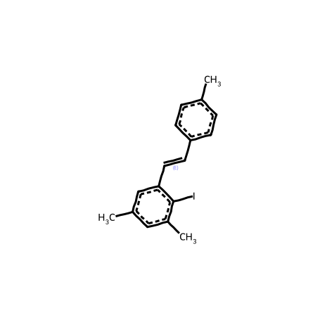 Cc1ccc(/C=C/c2cc(C)cc(C)c2I)cc1